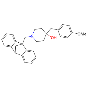 COc1ccc(CC2(O)CCN(CC34CC(c5ccccc53)c3ccccc34)CC2)cc1